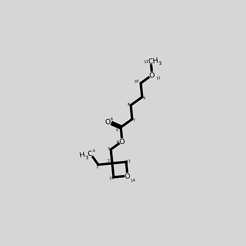 CCC1(COC(=O)CCCCOC)COC1